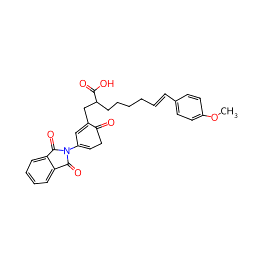 COc1ccc(/C=C/CCCCC(CC2=CC(N3C(=O)c4ccccc4C3=O)=CCC2=O)C(=O)O)cc1